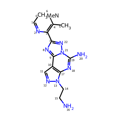 C/C=N\C(=C(\C)NC)c1nc2c3cnn(CCN)c3nc(N)n2n1